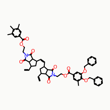 C=CC1CC(/C=C\C2CC(C=C)C3C(=O)N(CCOC(=O)c4cc(C)c(OCc5ccccc5)c(OCc5ccccc5)c4)C(=O)C23)C2C(=O)N(CCOC(=O)c3cc(C)c(C)c(C)c3)C(=O)C12